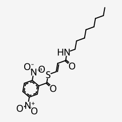 CCCCCCCCNC(=O)C=CSC(=O)c1cc([N+](=O)[O-])ccc1[N+](=O)[O-]